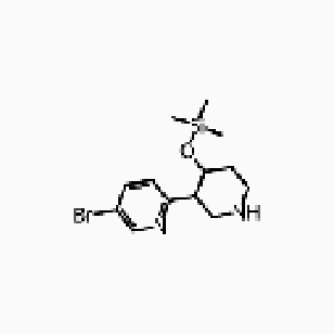 C[Si](C)(C)OC1CCNCC1c1ccc(Br)cn1